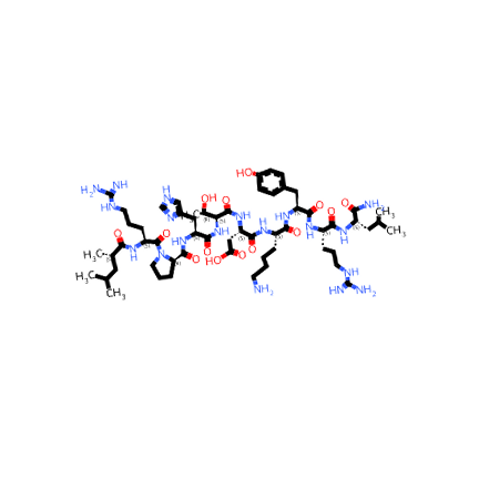 CC(C)C[C@H](NC(=O)[C@H](CCCNC(=N)N)NC(=O)[C@H](Cc1ccc(O)cc1)NC(=O)[C@H](CCCCN)NC(=O)[C@H](CC(=O)O)NC(=O)[C@@H](NC(=O)[C@H](Cc1c[nH]cn1)NC(=O)[C@H]1CCCN1C(=O)[C@H](CCCNC(=N)N)NC(=O)[C@@H](C)CC(C)C)[C@@H](C)O)C(N)=O